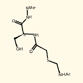 C[N]NC(=O)[C@H](CO)NC(=O)CSCNC(C)=O